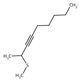 [CH2]CCCCC#CC(C)SC